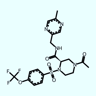 CC(=O)N1CCN(S(=O)(=O)c2ccc(OC(F)(F)F)cc2)[C@@H](C(=O)NCc2cnc(C)cn2)C1